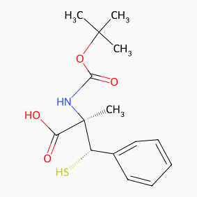 CC(C)(C)OC(=O)N[C@](C)(C(=O)O)[C@@H](S)c1ccccc1